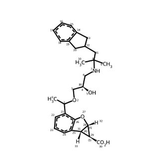 CC(OC[C@H](O)CNC(C)(C)CC1Cc2ccccc2C1)c1cccc2c1O[C@@H]1[C@@H](C(=O)O)[C@H]21